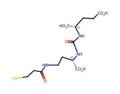 O=C(O)CC[C@H](NC(=O)N[C@@H](CCNC(=O)CCS)C(=O)O)C(=O)O